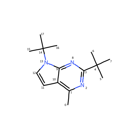 Cc1nc(C(C)(C)C)nc2c1ccn2C(C)(C)C